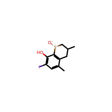 Cc1cc(I)c(O)c2c1CC(C)C[S@@+]2[O-]